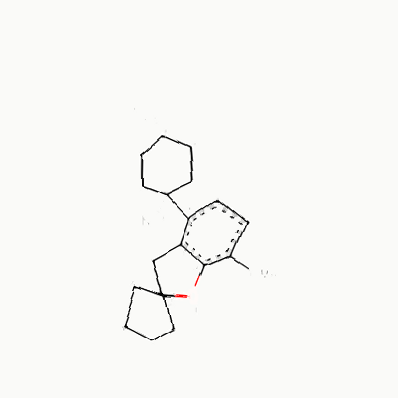 COc1ccc([C@]2(C#N)CC[C@@H](C(=O)O)CC2)c2c1OC1(CCCC1)C2